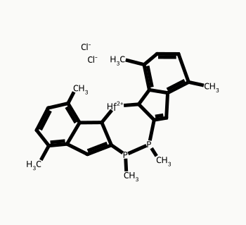 Cc1ccc(C)c2c1C=C1[CH]2[Hf+2][CH]2C(=Cc3c(C)ccc(C)c32)P(C)P1C.[Cl-].[Cl-]